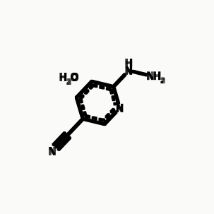 N#Cc1ccc(NN)nc1.O